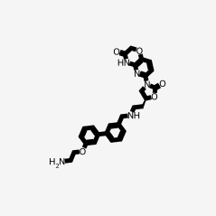 NCCOc1cccc(-c2cccc(CNCC[C@H]3CN(c4ccc5c(n4)NC(=O)CO5)C(=O)O3)c2)c1